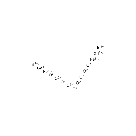 [Bi+3].[Bi+3].[Fe+3].[Fe+3].[Gd+3].[Gd+3].[O-2].[O-2].[O-2].[O-2].[O-2].[O-2].[O-2].[O-2].[O-2]